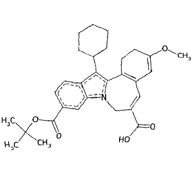 COC1=CC2=C(CC1)c1c(C3CCCCC3)c3ccc(C(=O)OC(C)(C)C)cc3n1CC(C(=O)O)=C2